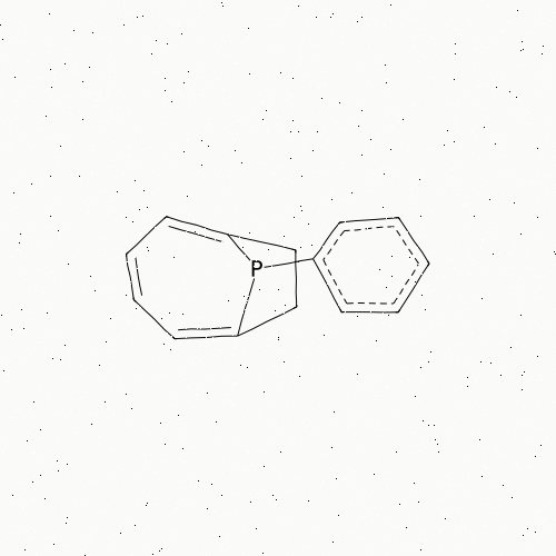 C1=CC=C2CCC(=C1)P2c1ccccc1